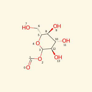 O=[C]OC1O[C@H](CO)[C@@H](O)[C@H](O)[C@H]1O